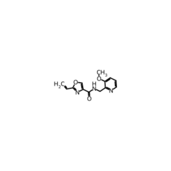 C=Cc1nc(C(=O)NCc2ncccc2OC)co1